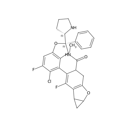 CNC(=O)C1CC2=C(C(F)=C1c1c(Cl)c(F)cc3c1C[C@](c1ccccc1)([C@@H]1CCCN1)O3)C1CC1O2